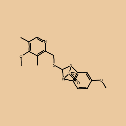 COc1ccc2c(c1)N1C(SCc3ncc(C)c(OC)c3C)N2S1(=O)=O